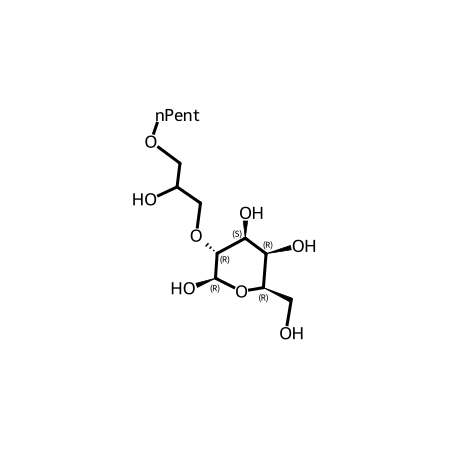 CCCCCOCC(O)CO[C@@H]1[C@@H](O)[C@@H](O)[C@@H](CO)O[C@H]1O